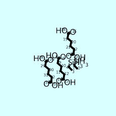 CC[SiH3].CC[SiH3].O=C(O)CCCCC(=O)O.O=C(O)CCCCC(=O)O.O=C(O)CCCCC(=O)O